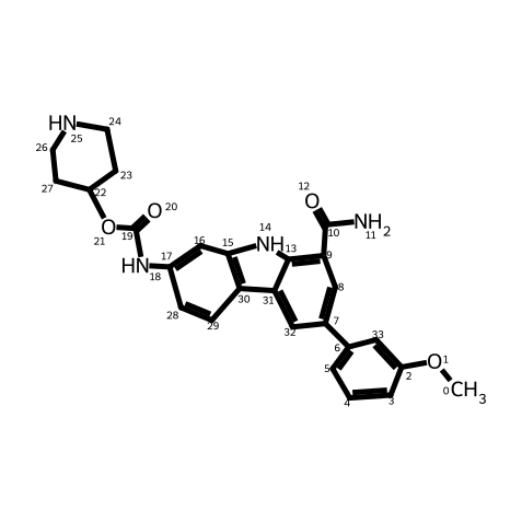 COc1cccc(-c2cc(C(N)=O)c3[nH]c4cc(NC(=O)OC5CCNCC5)ccc4c3c2)c1